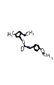 C=CC1CC(C)CC1COC(=O)/C=C/c1ccc(OC)cc1